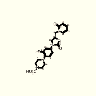 O=C(O)N1CCN(c2ccc(N3C[C@@H](Cn4ccccc4=O)OC3=O)cc2F)CC1